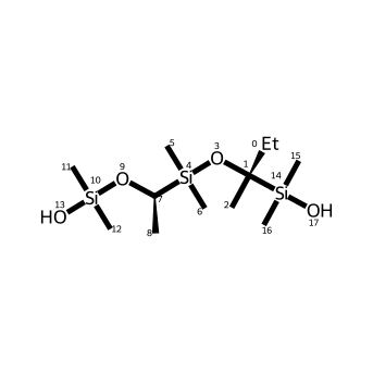 CC[C@@](C)(O[Si](C)(C)[C@@H](C)O[Si](C)(C)O)[Si](C)(C)O